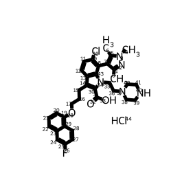 Cc1nn(C)c(C)c1-c1c(Cl)ccc2c(CCCOc3cccc4cc(F)ccc34)c(C(=O)O)n(CCN3CCNCC3)c12.Cl